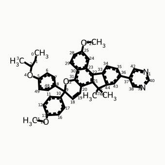 CCC(C)Oc1ccc(C2(c3ccc(OC)cc3)C=Cc3c4c(c5cc(OC)ccc5c3O2)-c2ccc(-c3cncnc3)cc2C4(C)C)cc1